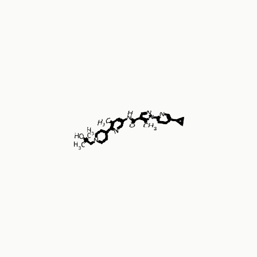 Cc1cc(NC(=O)c2cnn(-c3ccc(C4CC4)cn3)c2C)cnc1C1CCN(CC(C)(C)O)CC1